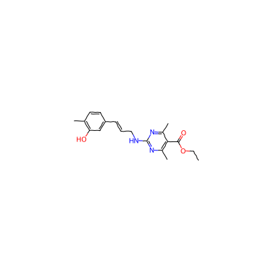 CCOC(=O)c1c(C)nc(NCC=Cc2ccc(C)c(O)c2)nc1C